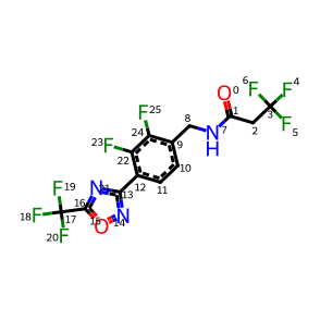 O=C(CC(F)(F)F)NCc1ccc(-c2noc(C(F)(F)F)n2)c(F)c1F